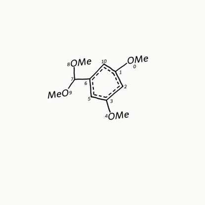 COc1cc(OC)cc(C(OC)OC)c1